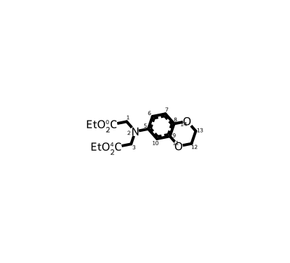 CCOC(=O)CN(CC(=O)OCC)c1ccc2c(c1)OCCO2